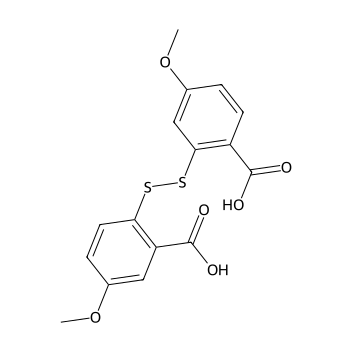 COc1ccc(C(=O)O)c(SSc2ccc(OC)cc2C(=O)O)c1